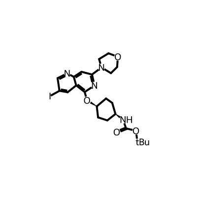 CC(C)(C)OC(=O)N[C@H]1CC[C@@H](Oc2nc(N3CCOCC3)cc3ncc(I)cc23)CC1